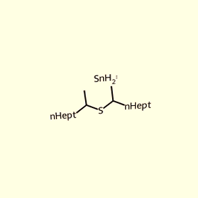 CCCCCCCC(C)SC(C)CCCCCCC.[SnH2]